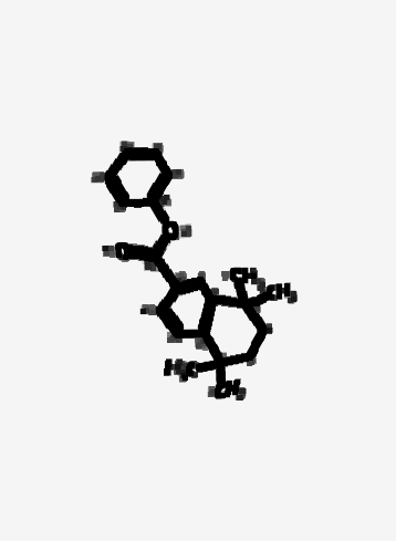 CC1(C)CCC(C)(C)c2cc(C(=O)Oc3ccccc3)ccc21